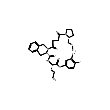 COC[C@@H]1CCCN1C(=O)CCC(=O)N1Cc2ccccc2C[C@H]1C(=O)N[C@@H](CCN)C(=O)Nc1ccc(Cl)c(C)c1